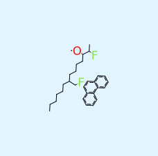 CCCCCCC(CF)CCCCC([O])C(C)F.c1ccc2c(c1)ccc1ccccc12